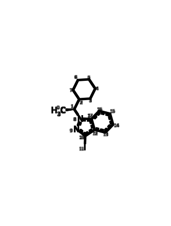 C[C@@H](C1CCCCC1)n1nc(I)c2ccccc21